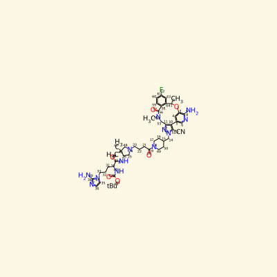 C[C@H]1Oc2cc(cnc2N)-c2c(nn(CC3CCN(C(=O)CCCN4C[C@H](NC(=O)[C@H](CCCn5ccnc5N)NC(=O)OC(C)(C)C)C(C)(C)C4)CC3)c2C#N)CN(C)C(=O)c2ccc(F)cc21